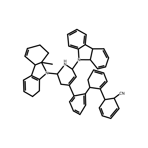 CC12CCC=CC1C1=C(CCC=C1)N2C1CC(c2ccccc2C2CC=CC=C2C2C=CC=CC2C#N)=CC(N2c3ccccc3C3C=CC=CC32)N1